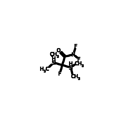 C[SiH](C)C(F)(C(=O)N(F)F)[SiH](C)C